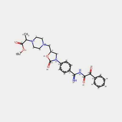 CC(C(=O)OC(C)(C)C)N1CCN(CC2CN(c3ccc(C(=N)NC(=O)C(=O)c4ccccc4)cc3)C(=O)O2)CC1